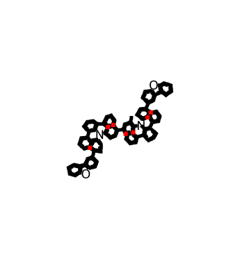 Cc1cc(-c2ccc(N(c3ccc(-c4ccc5oc6ccccc6c5c4)cc3)c3c(-c4ccccc4)cccc3-c3ccccc3)c(C)c2)ccc1N(c1ccc(-c2ccc3oc4ccccc4c3c2)cc1)c1c(-c2ccccc2)cccc1-c1ccccc1